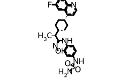 C[C@@H](/C(=N/O)Nc1ccc(NS(N)(=O)=O)cc1)[C@H]1CC[C@@H](c2ccnc3ccc(F)cc32)CC1